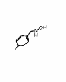 CC1C=CC(CNO)=CC1